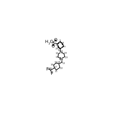 CS(=O)(=O)c1cccc(N2CCN(CC3CCC(C(F)F)CC3)CC2)c1